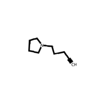 C#CCC[CH]N1CCCC1